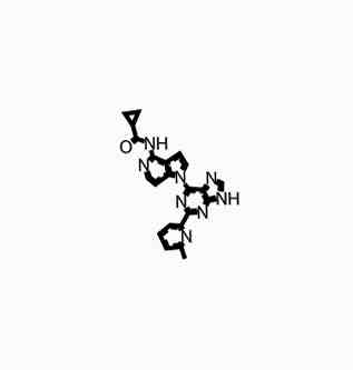 Cc1cccc(-c2nc(-n3ccc4c(NC(=O)C5CC5)nccc43)c3nc[nH]c3n2)n1